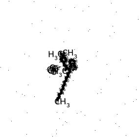 CCCCCCCCCCCCCCCC(C(C)C=Cc1ccc(N(C)C)cc1)[n+]1csc2ccccc21.[O-][Cl+3]([O-])([O-])[O-]